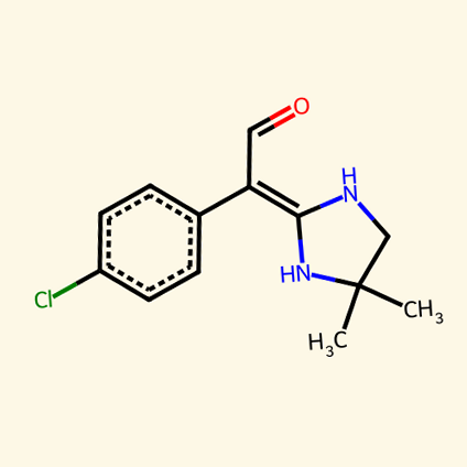 CC1(C)CNC(=C(C=O)c2ccc(Cl)cc2)N1